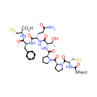 CCCCCC(=O)N[C@@H](CS)C(=O)N1CCC[C@H]1C(=O)N1CCC[C@H]1C(=O)N[C@H](C(=O)N[C@@H](CCC(N)=O)C(=O)N[C@@H](Cc1ccccc1)C(=O)N[C@@H](CS)C(=O)O)[C@@H](C)O